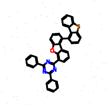 c1ccc(-c2nc(-c3ccccc3)nc(-c3cccc4c3oc3cccc(-c5cccc6sc7ccccc7c56)c34)n2)cc1